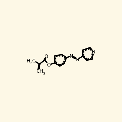 C=C(C)C(=O)Oc1ccc(N=Nc2ccncc2)cc1